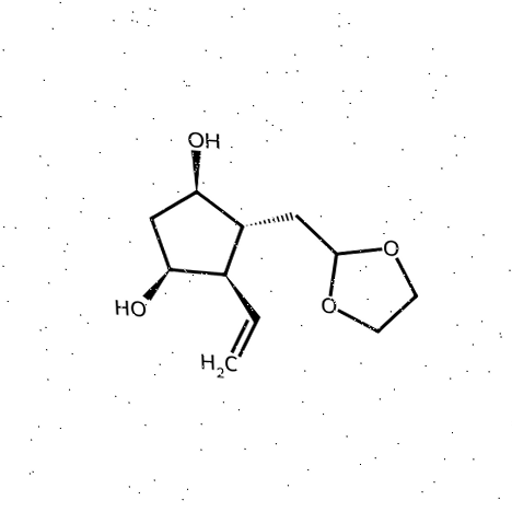 C=C[C@@H]1[C@@H](CC2OCCO2)[C@H](O)C[C@@H]1O